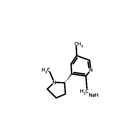 Cc1cnc(C)c([C@@H]2CCCN2C)c1.[NaH]